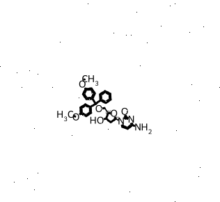 COc1ccc(C(OC[C@H]2O[C@@H](n3ccc(N)nc3=O)CC2O)(c2ccccc2)c2ccc(OC)cc2)cc1